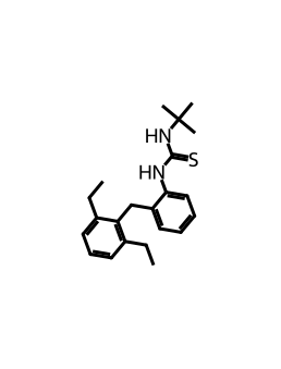 CCc1cccc(CC)c1Cc1ccccc1NC(=S)NC(C)(C)C